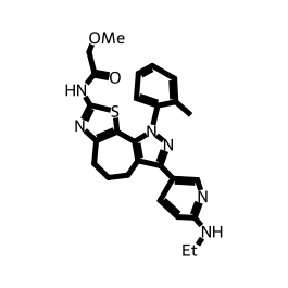 CCNc1ccc(-c2nn(-c3ccccc3C)c3c2CCCc2nc(NC(=O)COC)sc2-3)cn1